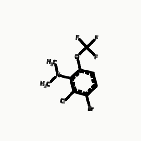 CN(C)c1c(OC(F)(F)F)ccc(Br)c1Cl